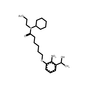 CC(=O)OCCN(C(=O)CCCCCOc1cccc(C(C)O)c1[N+](=O)[O-])C1CCCCC1